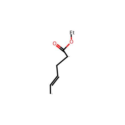 [CH2]C=CC[CH]C(=O)OCC